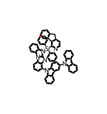 c1ccc([Si](c2ccccc2)(c2nccc3c2-c2ccccc2C3)n2c3ccccc3n3c4cccc(-n5c6ccccc6c6cc(-n7c8ccccc8c8ccccc87)ccc65)c4nc23)cc1